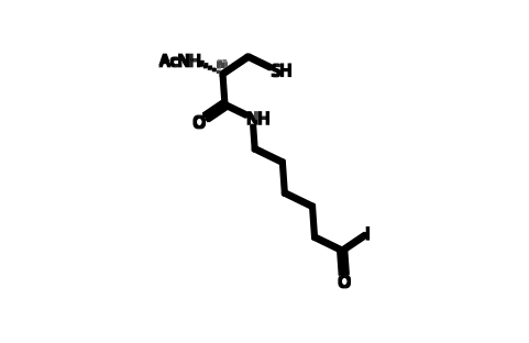 CC(=O)N[C@H](CS)C(=O)NCCCCCC(=O)I